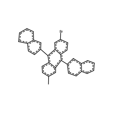 Cc1ccc2c(-c3ccc4ccccc4c3)c3cc(Br)ccc3c(-c3ccc4ccccc4c3)c2c1